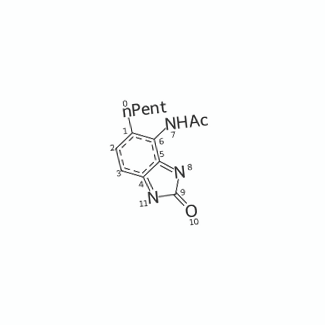 CCCCCc1ccc2c(c1NC(C)=O)=NC(=O)N=2